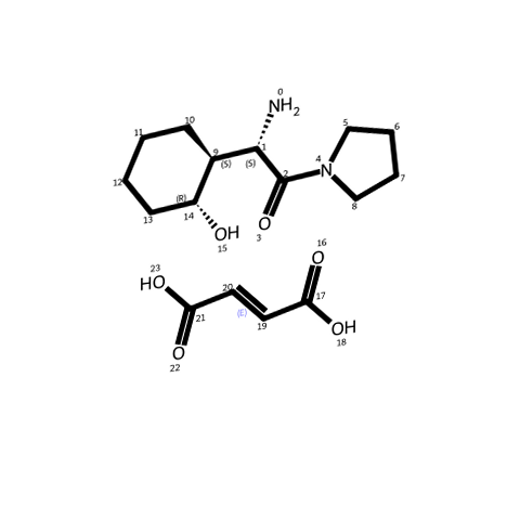 N[C@H](C(=O)N1CCCC1)[C@@H]1CCCC[C@H]1O.O=C(O)/C=C/C(=O)O